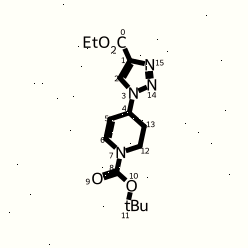 CCOC(=O)c1cn(C2C=CN(C(=O)OC(C)(C)C)CC2)nn1